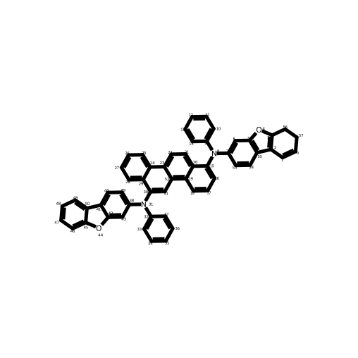 C1=Cc2c(oc3cc(N(c4ccccc4)c4cccc5c4ccc4c6ccccc6c(N(c6ccccc6)c6ccc7c(c6)oc6ccccc67)cc54)ccc23)CC1